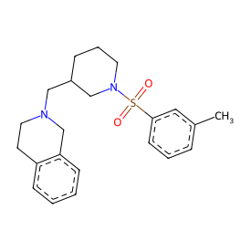 Cc1cccc(S(=O)(=O)N2CCCC(CN3CCc4ccccc4C3)C2)c1